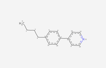 CCCCc1ccc(-c2ccncc2)cc1